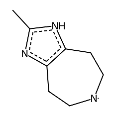 Cc1nc2c([nH]1)CC[N]CC2